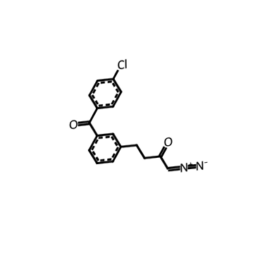 [N-]=[N+]=CC(=O)CCc1cccc(C(=O)c2ccc(Cl)cc2)c1